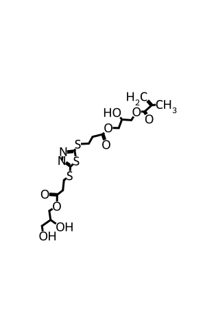 C=C(C)C(=O)OCC(O)COC(=O)CCSc1nnc(SCCC(=O)OCC(O)CO)s1